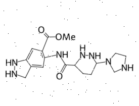 COC(=O)c1cc2c(cc1NC(=O)C1CCC(N3CCNC3)NN1)CNN2